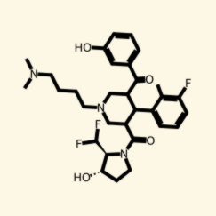 Cc1c(F)cccc1C1C(C(=O)c2cccc(O)c2)CN(CCCCN(C)C)CC1C(=O)N1CC[C@H](O)[C@H]1C(F)F